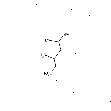 CCCCC(CC)CC(N)CC(=O)O